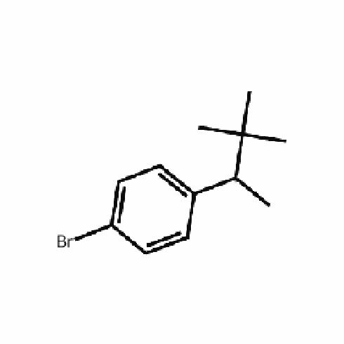 C[C](c1ccc(Br)cc1)C(C)(C)C